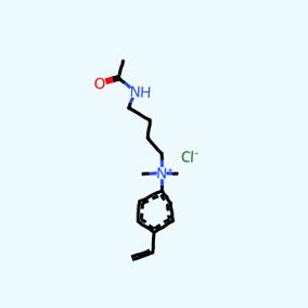 C=Cc1ccc([N+](C)(C)CCCCNC(C)=O)cc1.[Cl-]